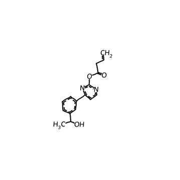 C=CCC(=O)Oc1nccc(-c2cccc(C(C)O)c2)n1